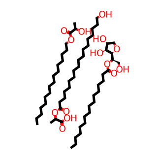 CC(OC(=O)CCCCCCCCCCCCCCCCCO)C(=O)O.CCCCCCCCCCCCCCCC(=O)O[C@H](CO)[C@H]1OC[C@H](O)[C@H]1O.CCCCCCCCCCCCCCCCOC(=O)C(C)O